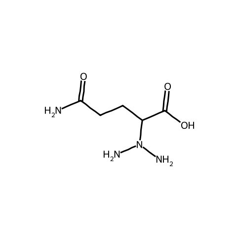 NC(=O)CCC(C(=O)O)N(N)N